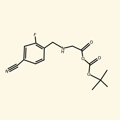 CC(C)(C)OC(=O)OC(=O)CNCc1ccc(C#N)cc1F